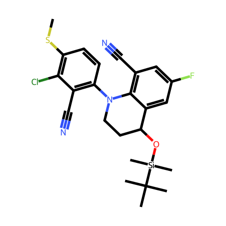 CSc1ccc(N2CCC(O[Si](C)(C)C(C)(C)C)c3cc(F)cc(C#N)c32)c(C#N)c1Cl